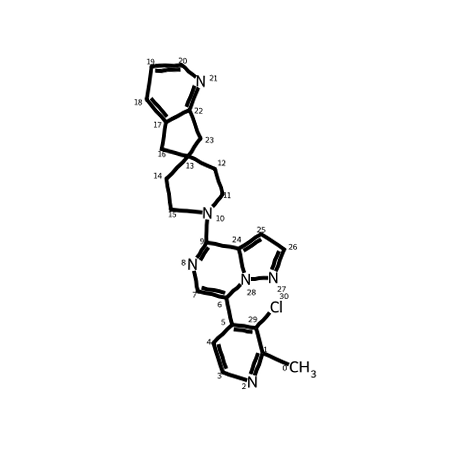 Cc1nccc(-c2cnc(N3CCC4(CC3)Cc3cccnc3C4)c3ccnn23)c1Cl